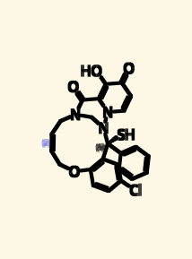 O=C1c2c(O)c(=O)ccn2N2CN1C/C=C\COc1ccc(Cl)cc1[C@@]2(S)c1ccccc1